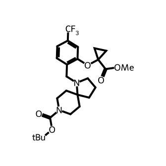 COC(=O)C1(Oc2cc(C(F)(F)F)ccc2CN2CCCC23CCN(C(=O)OC(C)(C)C)CC3)CC1